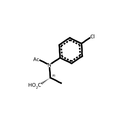 CC(=O)N(c1ccc(Cl)cc1)[C@H](C)C(=O)O